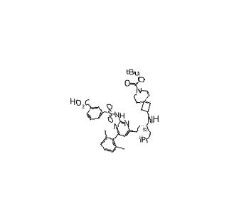 Cc1cccc(C)c1-c1cc(CC[C@@H](CC(C)C)NC2CC3(CCN(C(=O)OC(C)(C)C)CC3)C2)nc(NS(=O)(=O)c2cccc(C(=O)O)c2)n1